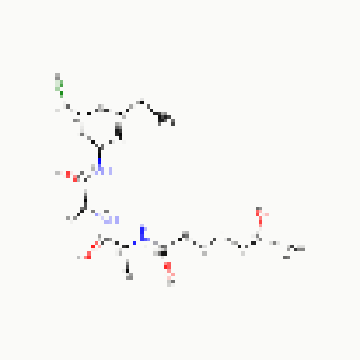 BCC1=CC(NC(=O)C(C)NC(=O)[C@H](C)NC(=O)CCCC[C@H](O)OC)CC(CBr)C1